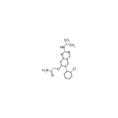 CC(C)Nc1ncc2cc(-c3ccccc3Cl)c(OCC(N)=O)cc2n1